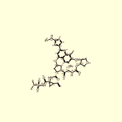 C=CC1C[C@]1(NC(=O)[C@@H]1C[C@@H](Oc2cc(-c3csc(NC(C)C)n3)nc3c(C)c(OC)ccc23)CN1C(=O)[C@@H](NC(=O)O[C@H]1CCOC1)C(C)(C)C)C(=O)NS(=O)(=O)N(C)C